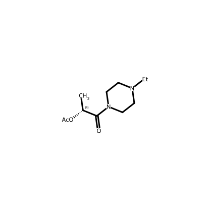 CCN1CCN(C(=O)[C@@H](C)OC(C)=O)CC1